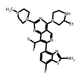 CCC1CN(c2nc(N3CCN(C)CC3)nc3c(C(F)F)c(-c4ccc(F)c5sc(N)nc45)ncc23)CCN1